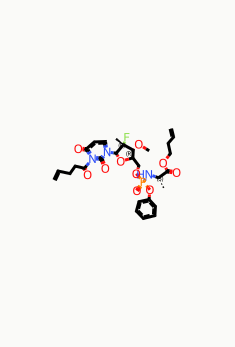 C=CCCOC(=O)[C@H](C)NP(=O)(OCC1OC(n2ccc(=O)n(C(=O)CCC=C)c2=O)[C@](C)(F)[C@@H]1OC)Oc1ccccc1